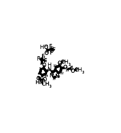 CNS(=O)(=O)c1ccc(OCC(F)(F)F)c(Nc2ncnc3cc(OCCOC)c(OC)cc23)c1.O=C(O)C(F)(F)F